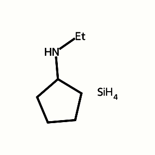 CCNC1CCCC1.[SiH4]